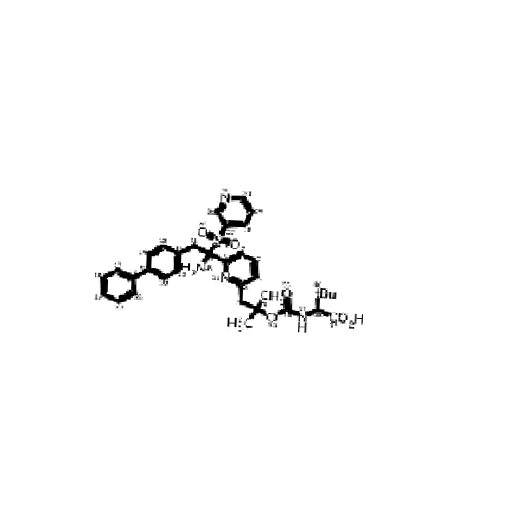 CC(C)(Cc1cccc(C(N)(Cc2ccc(-c3ccccc3)cc2)S(=O)(=O)c2cccnc2)n1)OC(=O)NC(C(=O)O)C(C)(C)C